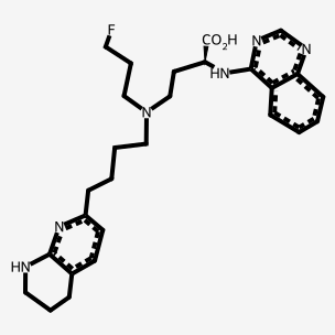 O=C(O)[C@H](CCN(CCCF)CCCCc1ccc2c(n1)NCCC2)Nc1ncnc2ccccc12